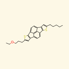 CCCCCc1cc2c(s1)-c1ccc3c4c(ccc-2c14)-c1sc(CCCOCC)cc1-3